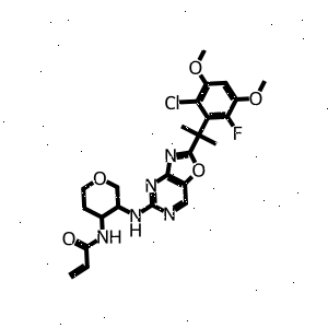 C=CC(=O)NC1CCOCC1Nc1ncc2oc(C(C)(C)c3c(F)c(OC)cc(OC)c3Cl)nc2n1